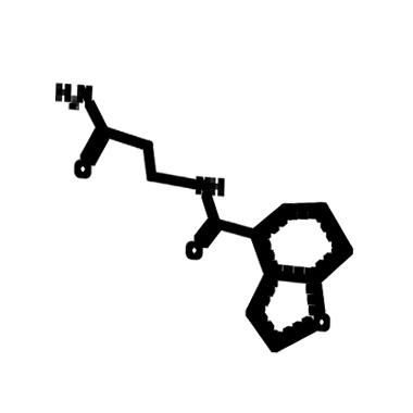 NC(=O)CCNC(=O)c1cccc2occc12